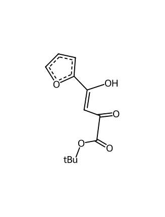 CC(C)(C)OC(=O)C(=O)C=C(O)c1ccco1